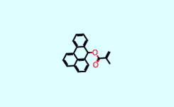 C=C(C)C(=O)OC1c2ccccc2-c2cccc3cccc1c23